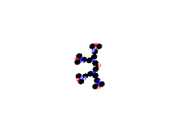 O=C(c1ccc(-n2c3ccc(-c4ccc(N5c6ccccc6Oc6ccccc65)nc4)cc3c3cc(-c4ccc(N5c6ccccc6Oc6ccccc65)nc4)ccc32)cc1)c1ccc(-n2c3ccc(-c4ccc(N5c6ccccc6Oc6ccccc65)nc4)cc3c3cc(-c4ccc(N5c6ccccc6Oc6ccccc65)nc4)ccc32)cc1